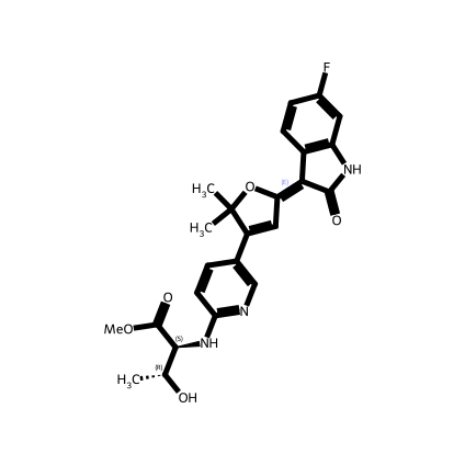 COC(=O)[C@@H](Nc1ccc(C2=C/C(=C3\C(=O)Nc4cc(F)ccc43)OC2(C)C)cn1)[C@@H](C)O